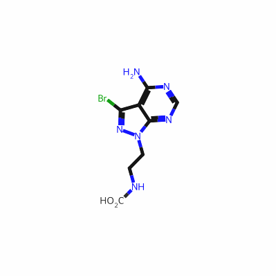 Nc1ncnc2c1c(Br)nn2CCNC(=O)O